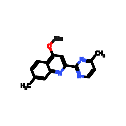 Cc1ccc2c(OC(C)(C)C)cc(-c3nccc(C)n3)nc2c1